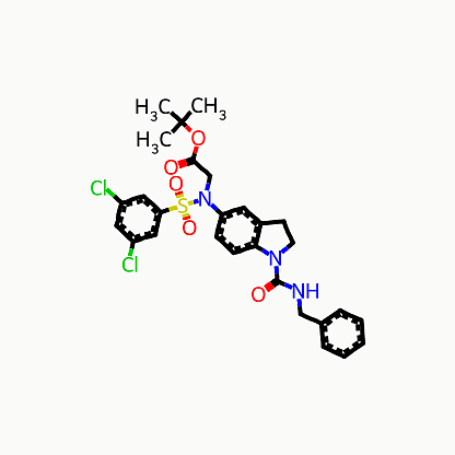 CC(C)(C)OC(=O)CN(c1ccc2c(c1)CCN2C(=O)NCc1ccccc1)S(=O)(=O)c1cc(Cl)cc(Cl)c1